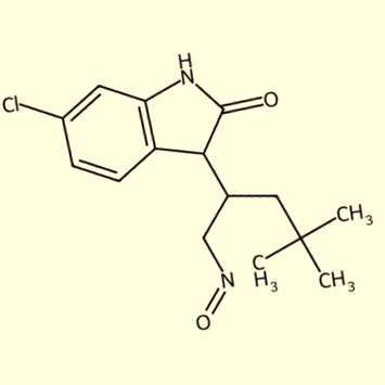 CC(C)(C)CC(CN=O)C1C(=O)Nc2cc(Cl)ccc21